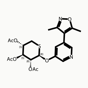 CC(=O)O[C@@H]1[C@@H](OC(C)=O)[C@H](OC(C)=O)CS[C@H]1Oc1cncc(-c2c(C)noc2C)c1